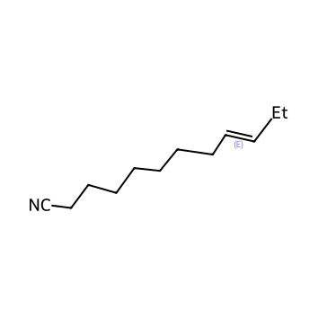 CC/C=C/CCCCCCCC#N